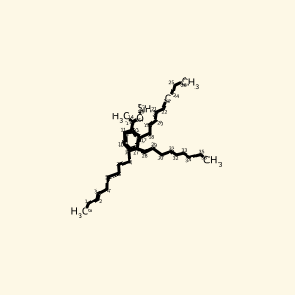 CCCCCCCCCc1ccc(C(C)O[SiH3])c(CCCCCCCCC)c1CCCCCCCCC